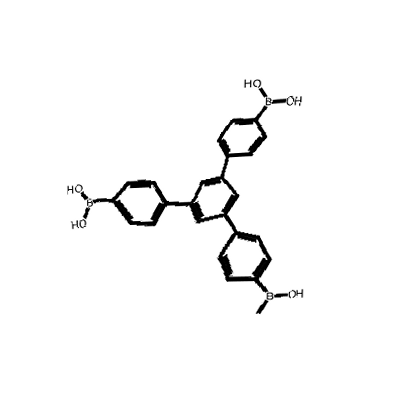 CB(O)c1ccc(-c2cc(-c3ccc(B(O)O)cc3)cc(-c3ccc(B(O)O)cc3)c2)cc1